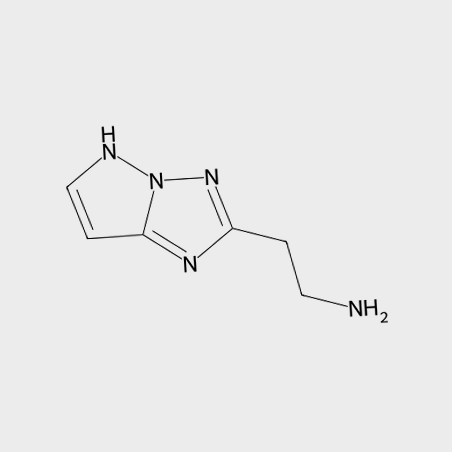 NCCc1nc2cc[nH]n2n1